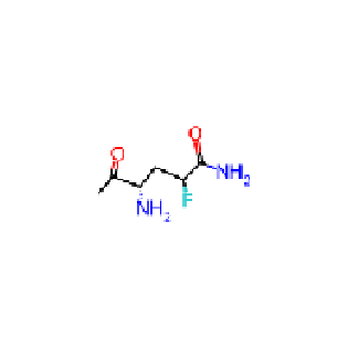 CC(=O)[C@@H](N)C[C@H](F)C(N)=O